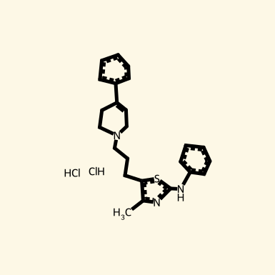 Cc1nc(Nc2ccccc2)sc1CCCN1CC=C(c2ccccc2)CC1.Cl.Cl